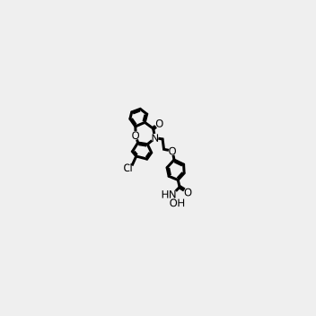 O=C(NO)c1ccc(OCCN2C(=O)c3ccccc3Oc3cc(Cl)ccc32)cc1